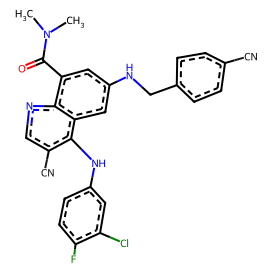 CN(C)C(=O)c1cc(NCc2ccc(C#N)cc2)cc2c(Nc3ccc(F)c(Cl)c3)c(C#N)cnc12